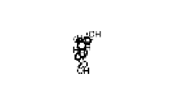 C[C@@]1(O)CC[C@@H]2[C@H]3CC[C@]4(C)[C@@H](C(=O)CO)CC[C@H]4[C@@H]3CC(=O)[C@@H]2C1